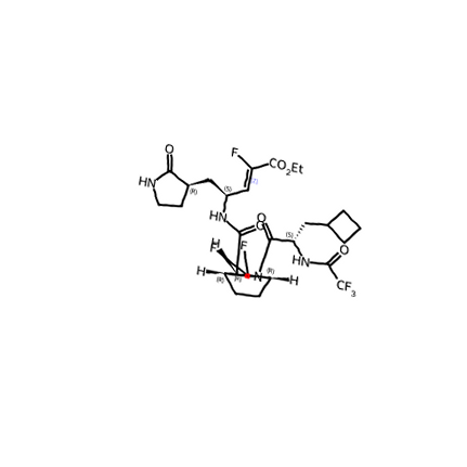 CCOC(=O)/C(F)=C/[C@H](C[C@H]1CCNC1=O)NC(=O)[C@H]1[C@H]2CC[C@H](CC2(F)F)N1C(=O)[C@H](CC1CCC1)NC(=O)C(F)(F)F